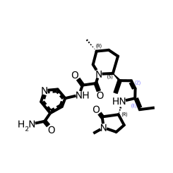 C=C(/C=C\C(=C/C)N[C@@H]1CCN(C)C1=O)[C@@H]1CC[C@@H](C)CN1C(=O)C(=O)Nc1cncc(C(N)=O)c1